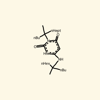 CCCCCCCC(C)(CCCC)n1c(=O)cc(NC(C)(CCCC)CCCCCC)[nH]c1=O